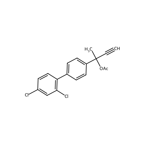 C#CC(C)(OC(C)=O)c1ccc(-c2ccc(Cl)cc2Cl)cc1